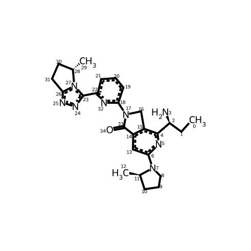 CC[C@H](N)c1nc(N2CCC[C@H]2C)cc2c1CN(c1cccc(-c3nnc4n3[C@@H](C)CC4)n1)C2=O